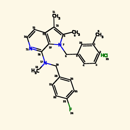 Cc1cccc(Cn2c(C)c(C)c3ccnc(N(C)Cc4ccc(F)cc4)c32)c1.Cl